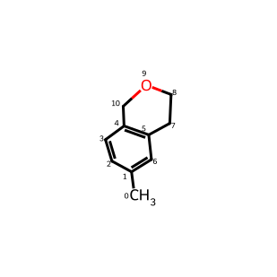 Cc1ccc2c(c1)CCOC2